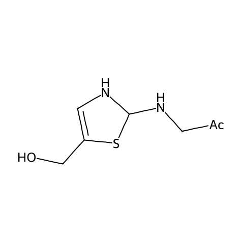 CC(=O)CNC1NC=C(CO)S1